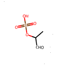 CC(C=O)OS(=O)(=O)O